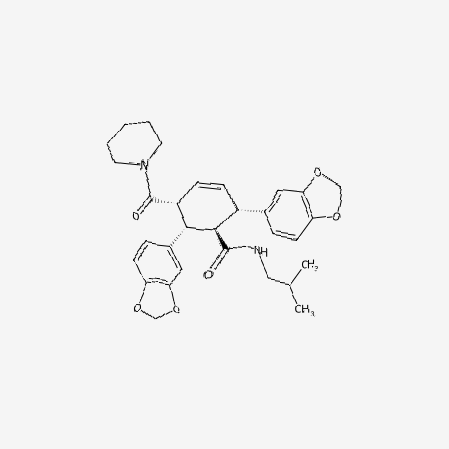 CC(C)CNC(=O)[C@H]1[C@H](c2ccc3c(c2)OCO3)[C@H](C(=O)N2CCCCC2)C=C[C@@H]1c1ccc2c(c1)OCO2